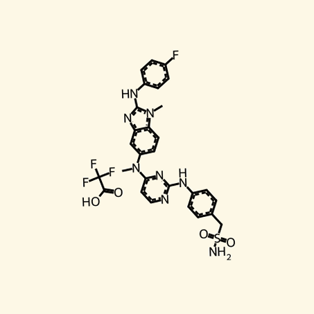 CN(c1ccc2c(c1)nc(Nc1ccc(F)cc1)n2C)c1ccnc(Nc2ccc(CS(N)(=O)=O)cc2)n1.O=C(O)C(F)(F)F